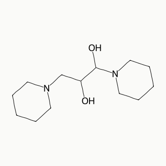 OC(CN1CCCCC1)C(O)N1CCCCC1